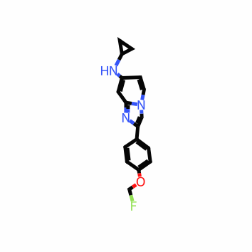 FCOc1ccc(-c2cn3ccc(NC4CC4)cc3n2)cc1